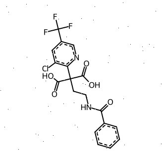 O=C(NCCC(C(=O)O)(C(=O)O)c1ncc(C(F)(F)F)cc1Cl)c1ccccc1